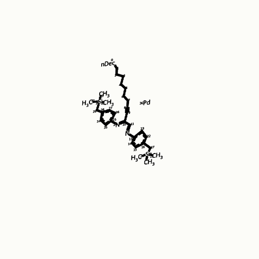 CCCCCCCCCCCCCCCCCC#CC(C=Nc1ccc(C[Si](C)(C)C)cc1)=Nc1ccc(C[Si](C)(C)C)cc1.[Pd]